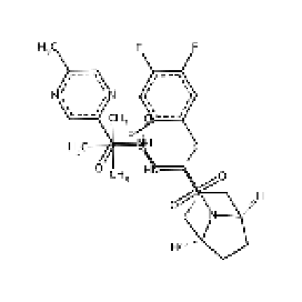 Cc1cnc(C(=O)NCCS(=O)(=O)N2[C@@H]3CC[C@H]2C[C@H]([C@@H](Cc2cc(F)c(F)cc2F)N[S@@+]([O-])C(C)(C)C)C3)cn1